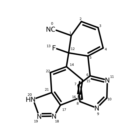 N#CC1C=CC=C(c2ccncn2)C1(F)c1cnc2nn[nH]c2c1